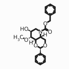 CO[C@H]1[C@@H]2O[C@H](c3ccccc3)OC[C@H]2N(C(=O)OCc2ccccc2)C[C@@H]1O